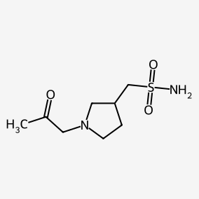 CC(=O)CN1CCC(CS(N)(=O)=O)C1